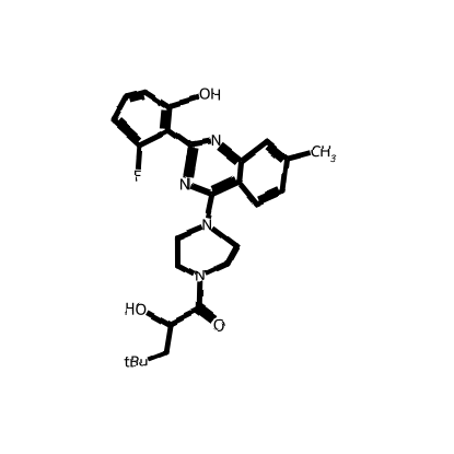 Cc1ccc2c(N3CCN(C(=O)C(O)CC(C)(C)C)CC3)nc(-c3c(O)cccc3F)nc2c1